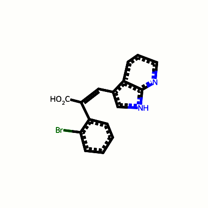 O=C(O)C(=Cc1c[nH]c2ncccc12)c1ccccc1Br